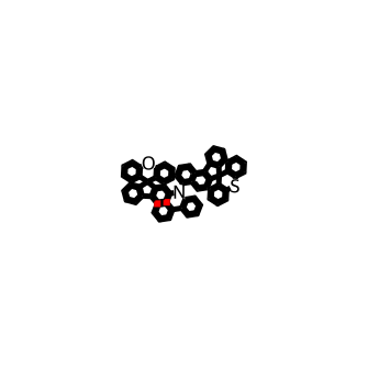 c1ccc(-c2ccccc2N(c2ccc3c(c2)C2(c4ccccc4Oc4ccccc42)c2ccccc2-3)c2cccc3c4c(ccc23)C2(c3ccccc3Sc3ccccc32)c2ccccc2-4)cc1